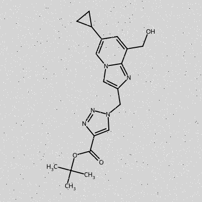 CC(C)(C)OC(=O)c1cn(Cc2cn3cc(C4CC4)cc(CO)c3n2)nn1